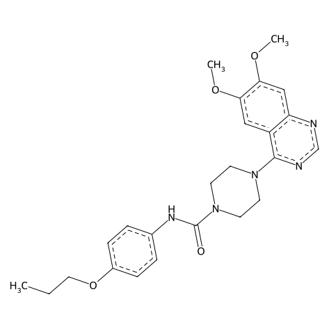 CCCOc1ccc(NC(=O)N2CCN(c3ncnc4cc(OC)c(OC)cc34)CC2)cc1